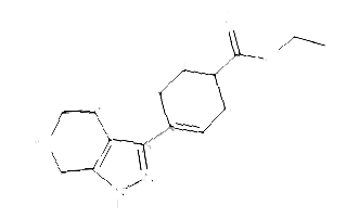 CCOC(=O)C1CC=C(c2n[nH]c3c2CCOC3)CC1